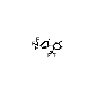 Cc1ccc(C(F)(F)F)c(-c2ccc(C(F)(F)F)cc2C)c1